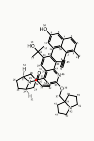 C#Cc1c(F)ccc2cc(O)cc(-c3c(C(C)(C)O)cc4c(N5C[C@H]6CC[C@@H](C5)N6C(=O)C=C)nc(OCC56CCCN5CCC6)nc4c3F)c12